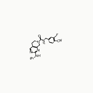 CC(C)Nc1ncc2c(n1)CN(C(=O)NCc1ccc(C#N)c(F)c1)CC2